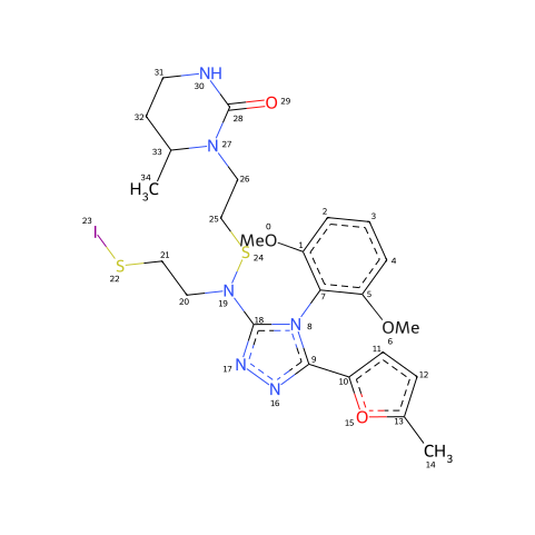 COc1cccc(OC)c1-n1c(-c2ccc(C)o2)nnc1N(CCSI)SCCN1C(=O)NCCC1C